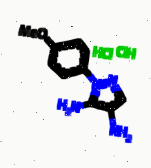 COc1ccc(-n2ncc(N)c2N)cc1.Cl.Cl